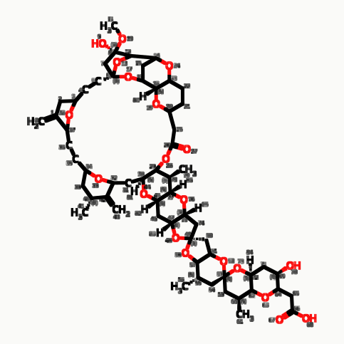 C=C1CC2CC[C@]34C[C@@](O)(OC)C(O3)C3CC(O4)[C@H]4OC(CCC4O3)CC(=O)OC3[C@H](CC4OC(CCC1O2)C[C@@H](C)C4=C)O[C@H]1C[C@H]2O[C@@]4(CC5O[C@@]6(C[C@H](C)C5O4)C[C@H](C)C4OC(CC(=O)O)[C@H](O)C[C@@H]4O6)C[C@H]2O[C@H]1[C@@H]3C